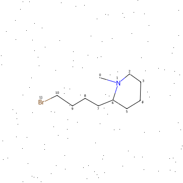 CN1CCCCC1CCCCBr